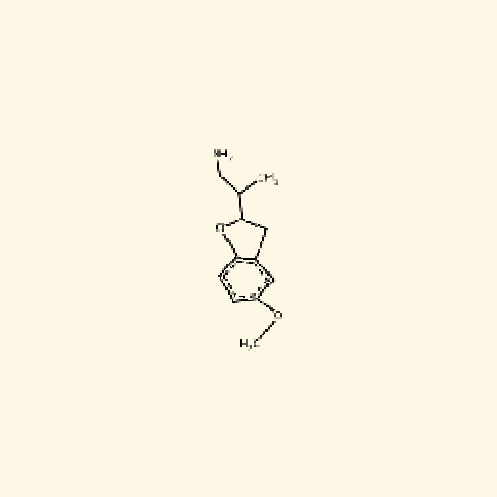 COc1ccc2c(c1)CC(C(C)CN)O2